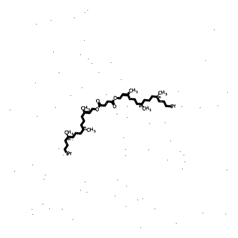 CC(=CCOC(=O)CCC(=O)OCC=C(C)CCC[C@H](C)CCC[C@H](C)CCCC(C)C)CCC[C@H](C)CCC[C@H](C)CCCC(C)C